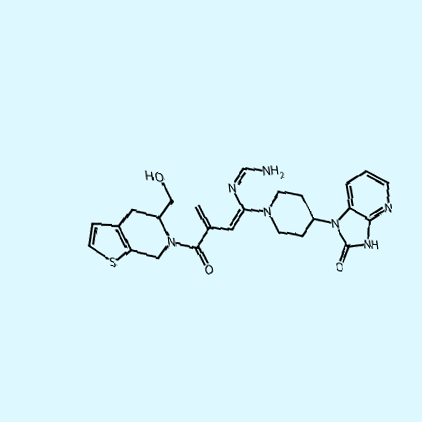 C=C(/C=C(\N=C/N)N1CCC(n2c(=O)[nH]c3ncccc32)CC1)C(=O)N1Cc2sccc2CC1CO